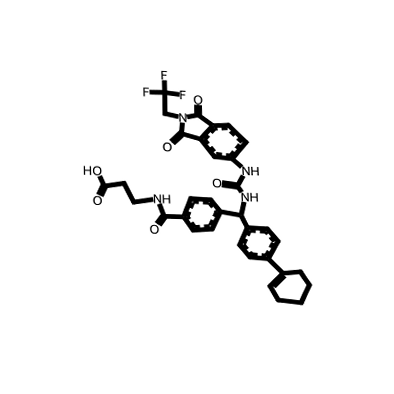 O=C(O)CCNC(=O)c1ccc(C(NC(=O)Nc2ccc3c(c2)C(=O)N(CC(F)(F)F)C3=O)c2ccc(C3=CCCCC3)cc2)cc1